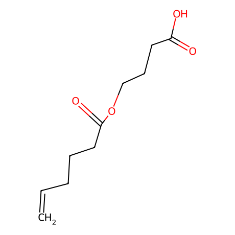 C=CCCCC(=O)OCCCC(=O)O